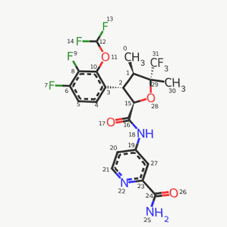 C[C@@H]1[C@@H](c2ccc(F)c(F)c2OC(F)F)[C@H](C(=O)Nc2ccnc(C(N)=O)c2)O[C@@]1(C)C(F)(F)F